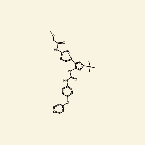 COCC(=O)Nc1ccc(-n2nc(C(C)(C)C)cc2NC(=O)Nc2ccc(Oc3ccncc3)cc2)cc1